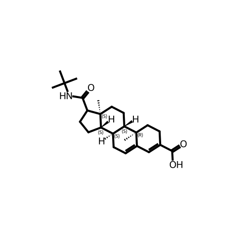 CC(C)(C)NC(=O)C1CC[C@H]2[C@@H]3CC=C4C=C(C(=O)O)CC[C@]4(C)[C@H]3CC[C@]12C